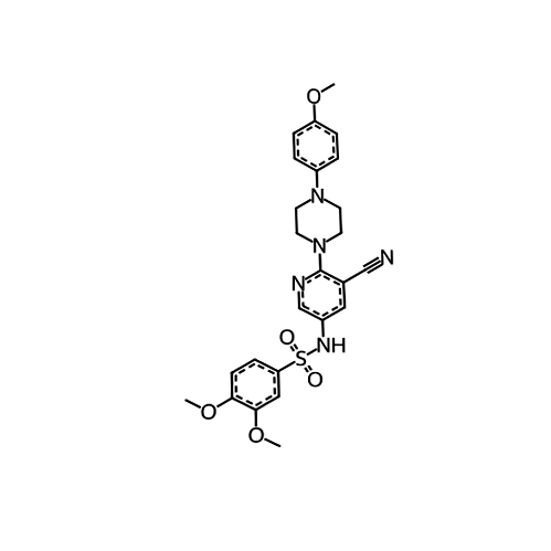 COc1ccc(N2CCN(c3ncc(NS(=O)(=O)c4ccc(OC)c(OC)c4)cc3C#N)CC2)cc1